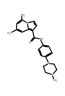 Cc1cc(C)n2ccc(C(=O)Nc3ccc(N4CCN(C)CC4)cc3)c2c1